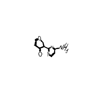 Nc1ccnc(C2COCCC2[O])n1